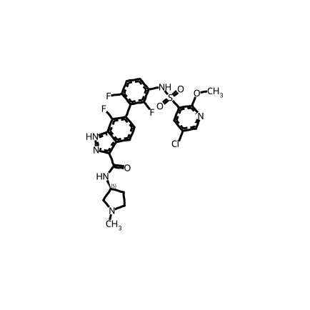 COc1ncc(Cl)cc1S(=O)(=O)Nc1ccc(F)c(-c2ccc3c(C(=O)N[C@H]4CCN(C)C4)n[nH]c3c2F)c1F